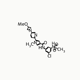 COC1CN(c2ccc(-c3cc(C(=O)Nc4cc(Cl)cc(NS(C)(=O)=O)c4)cn3C)nc2)C1